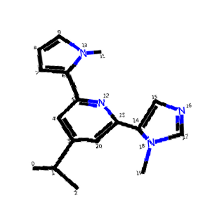 CC(C)c1cc(-c2cccn2C)nc(-c2cncn2C)c1